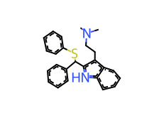 CN(C)CCc1c(C(Sc2ccccc2)c2ccccc2)[nH]c2ccccc12